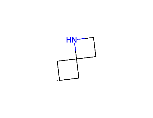 [CH]1CC2(C1)CCN2